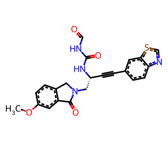 COc1ccc2c(c1)C(=O)N(C[C@@H](C#Cc1ccc3ncsc3c1)NC(=O)NC=O)C2